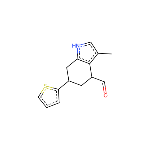 Cc1c[nH]c2c1C(C=O)CC(c1cccs1)C2